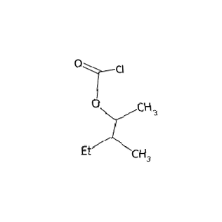 CCC(C)C(C)OC(=O)Cl